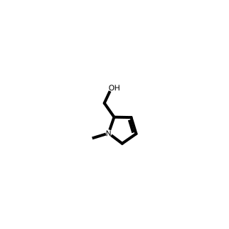 CN1CC=CC1CO